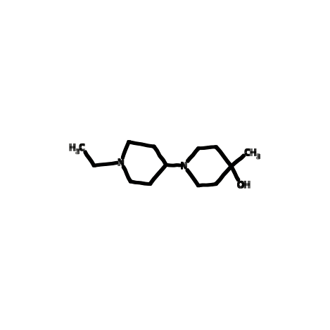 CCN1CCC(N2CCC(C)(O)CC2)CC1